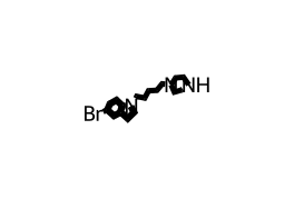 Brc1ccc2c(ccn2CCCCCN2CCNCC2)c1